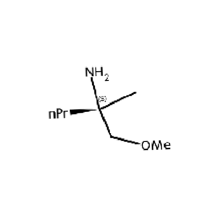 CCC[C@](C)(N)COC